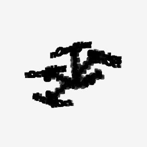 CCCCCCCCC(CCCCCC)C(=O)OCCCCCCN(CCCCCCOC(=O)C(CCCCCC)CCCCCCCC)CCN(CCN(CCCCCCOC(=O)C(CCCCCC)CCCCCCCC)CCCCCCOC(=O)C(CCCCCC)CCCCCCCC)Cc1cnn(CCN(C)C)c1